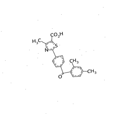 Cc1ccc(C(=O)c2ccc(-c3nc(C)c(C(=O)O)s3)cc2)c(C)c1